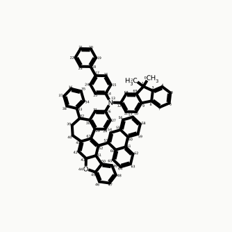 CC1(C)c2ccccc2-c2ccc(N(c3ccc(-c4ccccc4)cc3)c3ccc4c(c3)C(c3ccccc3)CCC3=CC5Oc6ccccc6C5C(c5cc6ccccc6c6ccccc56)=C34)cc21